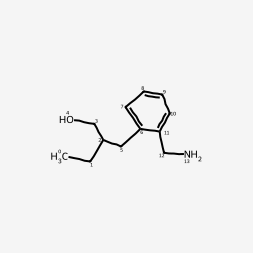 CCC(CO)Cc1ccccc1CN